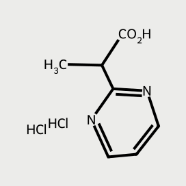 CC(C(=O)O)c1ncccn1.Cl.Cl